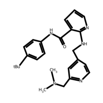 CN(C)Cc1cc(CNc2ncccc2C(=O)Nc2ccc(C(C)(C)C)cc2)ccn1